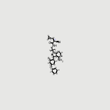 CC(C)(CNC(=O)/C(C#N)=C\C1CC1)n1nc(-c2ccc(Oc3ccccc3)cc2F)c2c(N)ncnc21